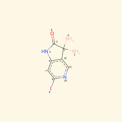 BC1(B)C(=O)Nc2cc(I)ncc21